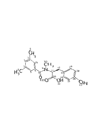 Cc1cc(C)cc(C(=O)N(C)[C@@H](Cc2ccc(O)cc2)C(=O)O)c1